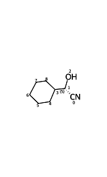 N#C[C@@H](O)C1CCCCC1